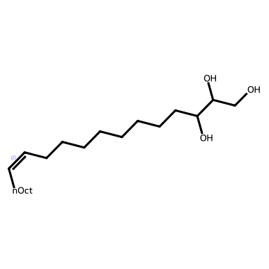 CCCCCCCC/C=C\CCCCCCCCC(O)C(O)CO